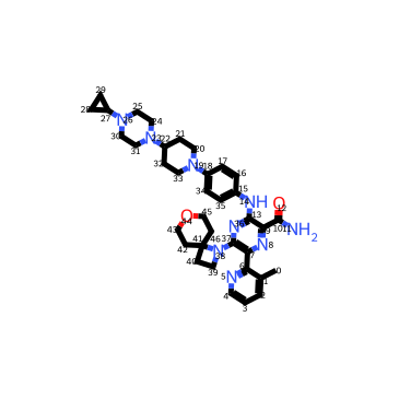 Cc1cccnc1-c1nc(C(N)=O)c(Nc2ccc(N3CCC(N4CCN(C5CC5)CC4)CC3)cc2)nc1N1CCC12CCOCC2